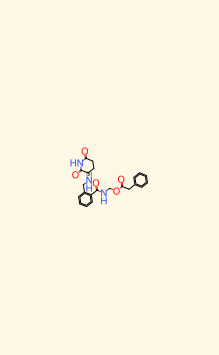 O=C1CC[C@H](NCc2ccccc2C(=O)NCOC(=O)Cc2ccccc2)C(=O)N1